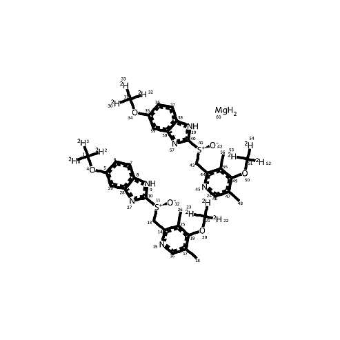 [2H]C([2H])([2H])Oc1ccc2[nH]c([S@@+]([O-])Cc3ncc(C)c(OC([2H])([2H])[2H])c3C)nc2c1.[2H]C([2H])([2H])Oc1ccc2[nH]c([S@@+]([O-])Cc3ncc(C)c(OC([2H])([2H])[2H])c3C)nc2c1.[MgH2]